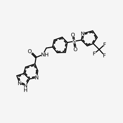 O=C(NCc1ccc(S(=O)(=O)c2cc(C(F)(F)F)ccn2)cc1)c1cnc2[nH]ncc2c1